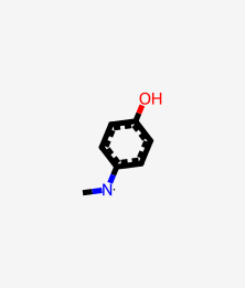 C[N]c1ccc(O)cc1